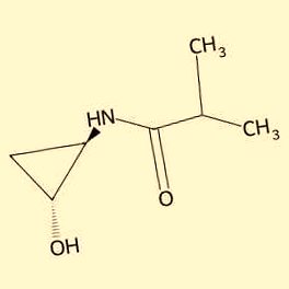 CC(C)C(=O)N[C@@H]1C[C@H]1O